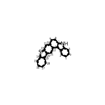 c1ccc2c(c1)[nH]c1ccc3cc4sc5ccccc5c4cc3c12